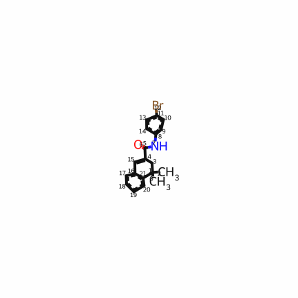 CC1(C)CC(C(=O)Nc2ccc(Br)cc2)=Cc2ccccc21